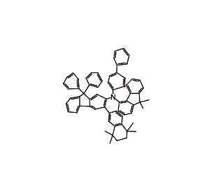 CC1(C)CCC(C)(C)c2cc(-c3cc4c(cc3N(c3ccc(-c5ccccc5)cc3)c3cccc5c3-c3ccccc3C5(C)C)C(c3ccccc3)(c3ccccc3)c3ccccc3-4)ccc21